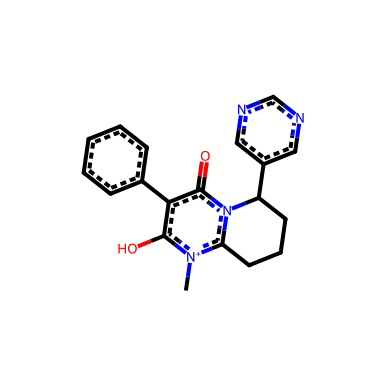 C[n+]1c(O)c(-c2ccccc2)c(=O)n2c1CCCC2c1cncnc1